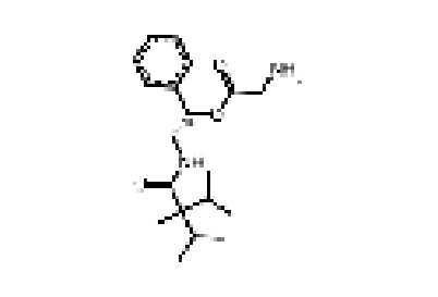 CC(C)C(C)(C(=O)NC[C@@H](OC(=O)CN)c1ccccc1)C(C)C